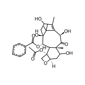 CC(=O)O[C@@]12CO[C@@H]1CC(O)[C@@]1(C)C(=O)[C@H](O)C3=C(C)C(O)C[C@@](O)([C@@H](OC(=O)c4ccccc4)[C@H]21)C3(C)C